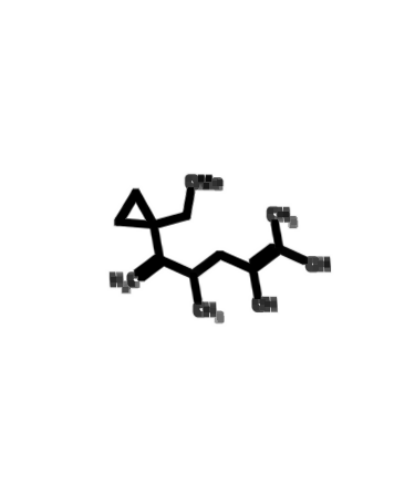 C=C(C(C)C/C(O)=C(\C)O)C1(COC)CC1